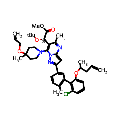 C=CCOC1(C)CCN(c2c([C@H](OC(C)(C)C)C(=O)OC)c(C)nc3cc(-c4ccc(C)c(-c5c(Cl)cccc5OC(C)CC=C)c4)nn23)CC1